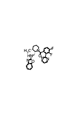 C[C@@H]1CCCN(C(=O)c2ccc(F)c(F)c2-c2ncccn2)[C@@H]1CNc1nc2ccccc2o1